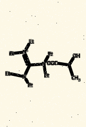 CC(O)C(=O)[O-].CCN(CC)C(N(CC)CC)=[N+](CC)CC